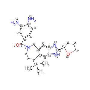 CC(C)(C)[C@@H]1CCN(C(=O)c2ccc(N)c(N)c2)Cc2cc3nc([C@H]4CCCO4)[nH]c3cc21